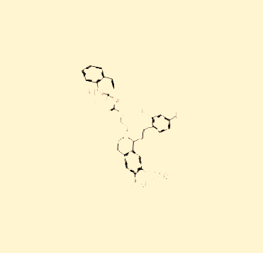 COc1cc2c(cc1OC)C(CCc1ccc(F)cc1F)N(CCNC(=O)NC1(C)C=Cc3ccccc3N1)CC2